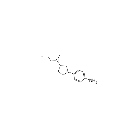 CCCN(C)C1CCN(c2ccc(N)cc2)C1